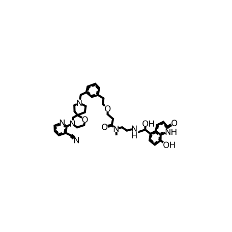 CN(CCNCC(O)c1ccc(O)c2[nH]c(=O)ccc12)C(=O)CCOCCc1cccc(CN2CCC3(CC2)CN(c2ncccc2C#N)CCO3)c1